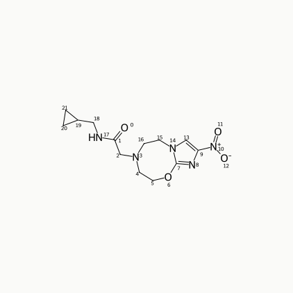 O=C(CN1CCOc2nc([N+](=O)[O-])cn2CC1)NCC1CC1